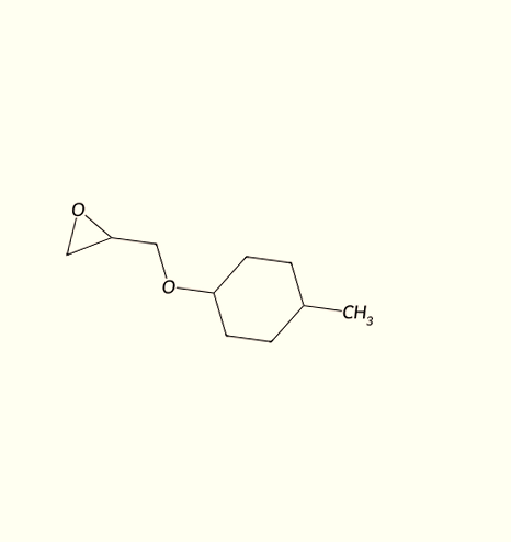 CC1CCC(OCC2CO2)CC1